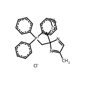 COC(=O)C1(C[P+](c2ccccc2)(c2ccccc2)c2ccccc2)N=CC(C)=N1.[Cl-]